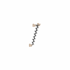 BrCCCCCCCCCCCCCC(Br)Br